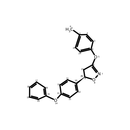 Cc1ccc(OC2=NO[C@@H](c3ccc(Oc4ccccc4)cc3)C2)cc1